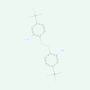 Nc1cc(C(F)(F)F)ccc1SSc1ccc(C(F)(F)F)cc1N